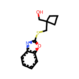 OCC1(CSc2nc3ccccc3o2)CCC1